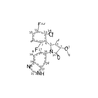 COC1=C(C)C(c2c(F)ccc(F)c2Cl)N(c2ccc3nc[nH]c3c2)C1=O